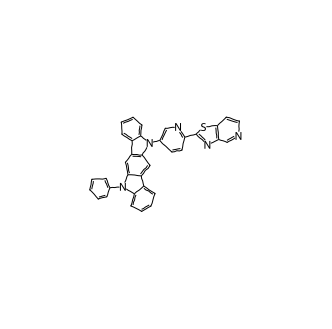 c1ccc(-n2c3ccccc3c3cc4c(cc32)c2ccccc2n4-c2ccc(-c3nc4cnccc4s3)nc2)cc1